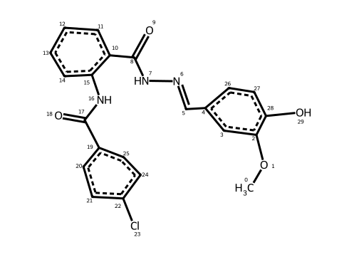 COc1cc(C=NNC(=O)c2ccccc2NC(=O)c2ccc(Cl)cc2)ccc1O